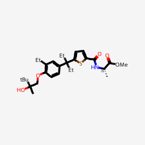 CCc1cc(C(CC)(CC)c2ccc(C(=O)N[C@@H](C)C(=O)OC)s2)ccc1OCC(C)(O)C(C)(C)C